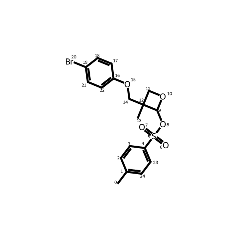 Cc1ccc(S(=O)(=O)OC2OCC2(C)COc2ccc(Br)cc2)cc1